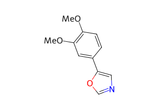 COc1ccc(-c2cnco2)cc1OC